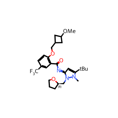 COC1CC(COc2ccc(C(F)(F)F)cc2C(=O)N=c2cc(C(C)(C)C)n(C)n2C[C@H]2CCCO2)C1